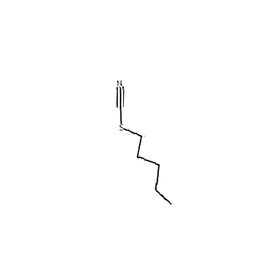 CCCC[CH]SC#N